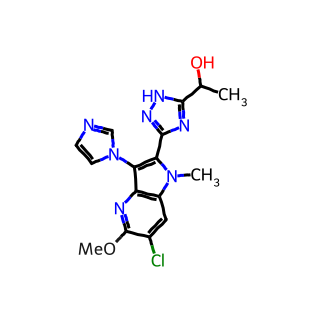 COc1nc2c(-n3ccnc3)c(-c3n[nH]c(C(C)O)n3)n(C)c2cc1Cl